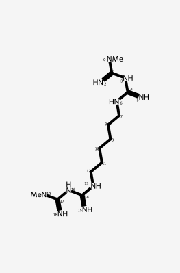 CNC(=N)NC(=N)NCCCCCCNC(=N)NC(=N)NC